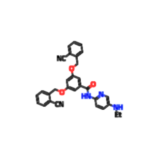 CCNc1ccc(NC(=O)c2cc(OCc3ccccc3C#N)cc(OCc3ccccc3C#N)c2)nc1